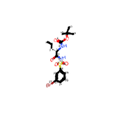 CCC[C@H](NC(=O)OC(C)(C)C)C(=O)NS(=O)(=O)c1cccc(Br)c1